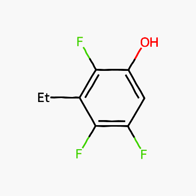 CCc1c(F)c(O)cc(F)c1F